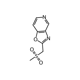 CS(=O)(=O)Cc1nc2cnccc2o1